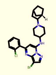 Clc1ccccc1-c1cc(NC2CCN(C3CC4CC[C@H]3C4)CC2)n2ncc(Br)c2n1